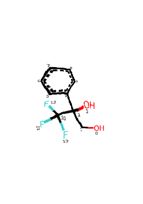 OCC(O)(c1ccccc1)C(F)(F)F